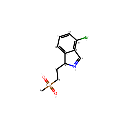 CS(=O)(=O)CCC1N=Cc2c(Br)cccc21